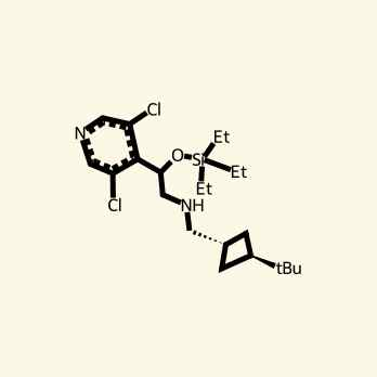 CC[Si](CC)(CC)OC(CNC[C@H]1C[C@H](C(C)(C)C)C1)c1c(Cl)cncc1Cl